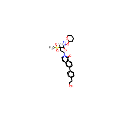 CC(CCn1ccc2cc(-c3ccc(CCO)cc3)ccc2c1=O)(C(=O)NOC1CCCCO1)S(C)(=O)=O